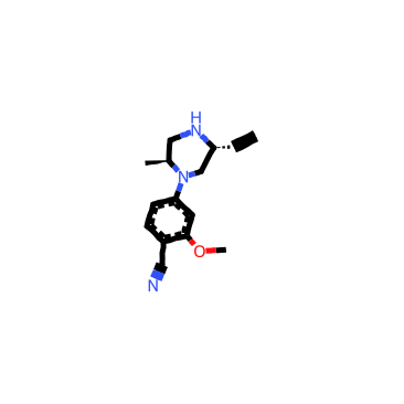 C#C[C@@H]1CN(c2ccc(C#N)c(OC)c2)[C@@H](C)CN1